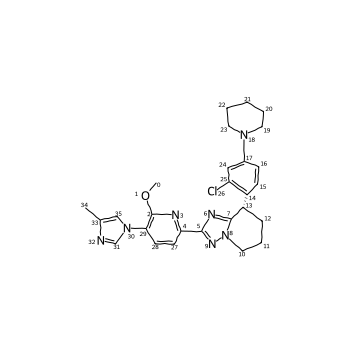 COc1nc(-c2nc3n(n2)CCC[C@H]3c2ccc(N3CCCCC3)cc2Cl)ccc1-n1cnc(C)c1